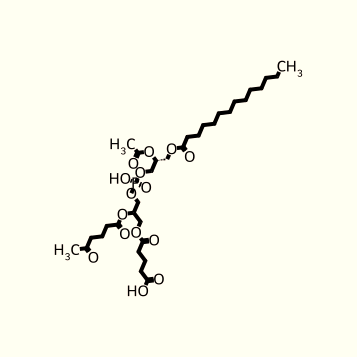 CCCCCCCCCCCCCC(=O)OC[C@H](COP(=O)(O)OCC(COC(=O)CCCC(=O)O)OC(=O)CCCC(C)=O)OC(C)=O